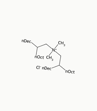 CCCCCCCCCCC(CCCCCCCC)C[N+](C)(C)CC(CCCCCCCC)CCCCCCCCCC.[Cl-]